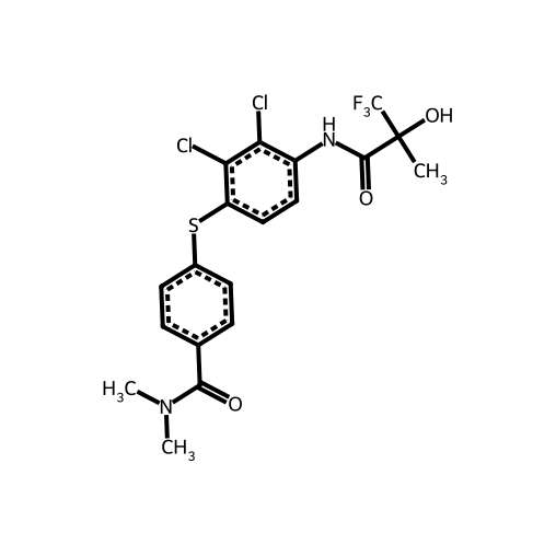 CN(C)C(=O)c1ccc(Sc2ccc(NC(=O)C(C)(O)C(F)(F)F)c(Cl)c2Cl)cc1